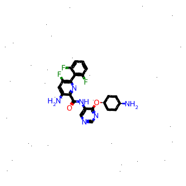 Nc1cc(F)c(-c2c(F)cccc2F)nc1C(=O)Nc1cncnc1O[C@H]1CC[C@H](N)CC1